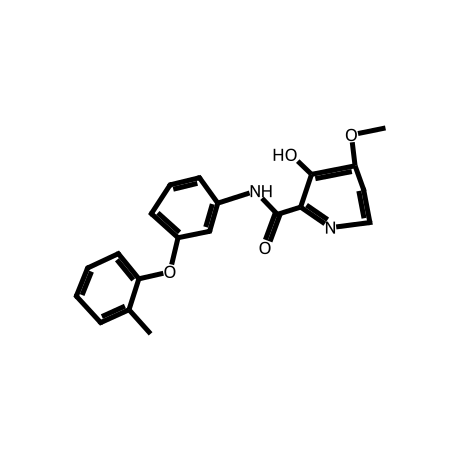 COc1ccnc(C(=O)Nc2cccc(Oc3ccccc3C)c2)c1O